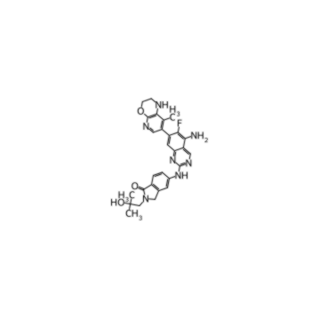 Cc1c(-c2cc3nc(Nc4ccc5c(c4)CN(CC(C)(C)O)C5=O)ncc3c(N)c2F)cnc2c1NCCO2